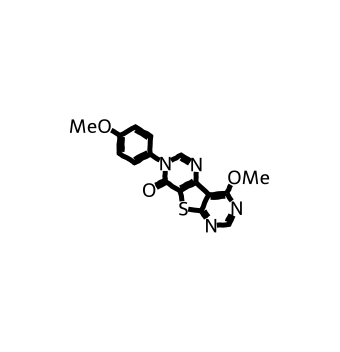 COc1ccc(-n2cnc3c(sc4ncnc(OC)c43)c2=O)cc1